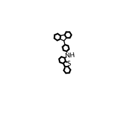 c1ccc2c(c1)-c1ccccc1C2c1ccc(Nc2cccc3c2sc2ccccc23)cc1